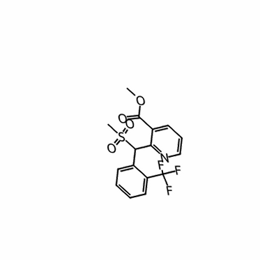 COC(=O)c1cccnc1C(c1ccccc1C(F)(F)F)S(C)(=O)=O